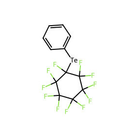 FC1(F)C(F)(F)C(F)(F)C(F)([Te]c2ccccc2)C(F)(F)C1(F)F